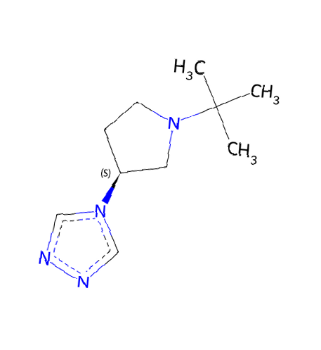 CC(C)(C)N1CC[C@H](n2cnnc2)C1